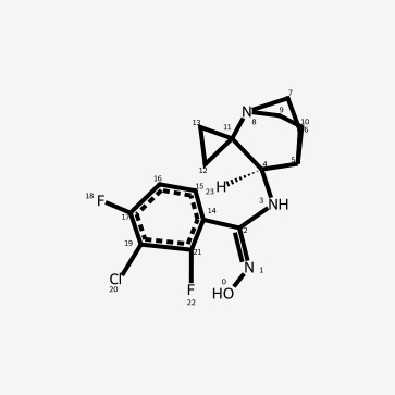 O/N=C(/N[C@@H]1C2CCN(CC2)C12CC2)c1ccc(F)c(Cl)c1F